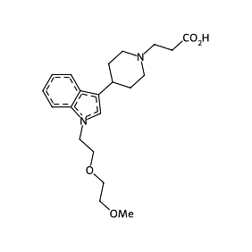 COCCOCCn1cc(C2CCN(CCC(=O)O)CC2)c2ccccc21